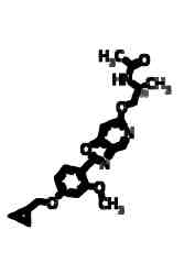 COc1cc(OCC2CC2)ccc1-c1nc2cnc(OC[C@H](C)NC(C)=O)cc2o1